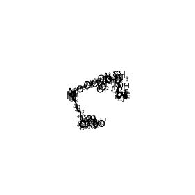 Cc1ncc(NC(=O)c2cccc(C(F)(F)F)c2)cc1-c1cnc(OCCOCCOCCOCc2cn(CCCCCCCOc3cccc4c3C(=O)N(C3CCC(=O)NC3=O)C4)nn2)c(N2CCOCC2)c1